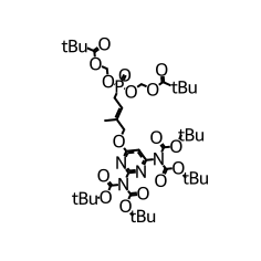 C/C(=C\CP(=O)(OCOC(=O)C(C)(C)C)OCOC(=O)C(C)(C)C)COc1cc(N(C(=O)OC(C)(C)C)C(=O)OC(C)(C)C)nc(N(C(=O)OC(C)(C)C)C(=O)OC(C)(C)C)n1